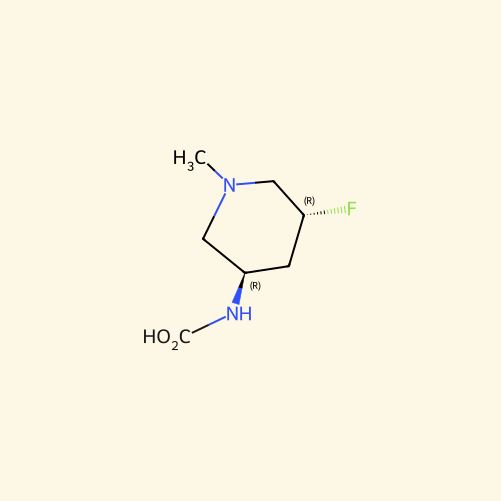 CN1C[C@H](F)C[C@@H](NC(=O)O)C1